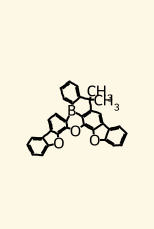 CC1(C)c2ccccc2B2c3ccc4c(oc5ccccc54)c3Oc3c2c1cc1c3oc2ccccc21